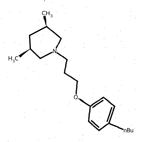 CCCCc1ccc(OCCCN2C[C@H](C)C[C@H](C)C2)cc1